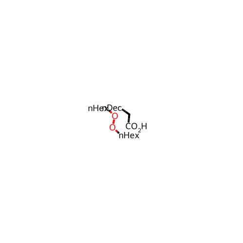 CCCCCCCCCCCC(=O)O.CCCCCCOOCCCCCC